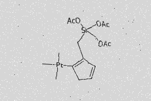 CC(=O)O[Si](CC1=[C]([Pt]([CH3])([CH3])[CH3])CC=C1)(OC(C)=O)OC(C)=O